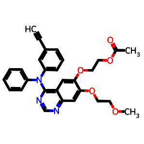 C#Cc1cccc(N(c2ccccc2)c2ncnc3cc(OCCOC)c(OCCOC(C)=O)cc23)c1